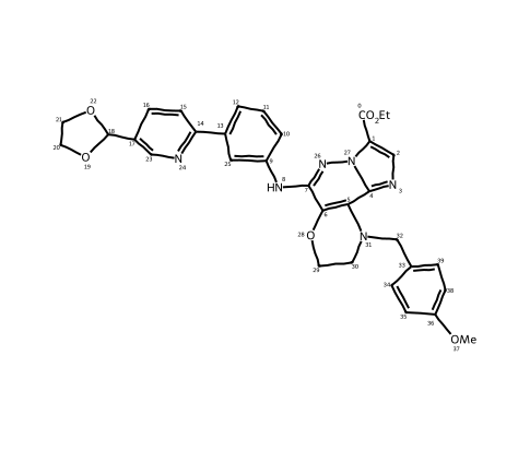 CCOC(=O)c1cnc2c3c(c(Nc4cccc(-c5ccc(C6OCCO6)cn5)c4)nn12)OCCN3Cc1ccc(OC)cc1